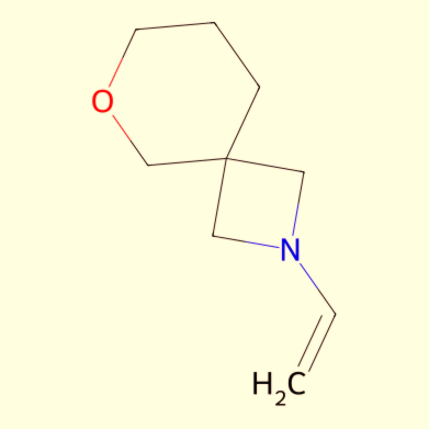 C=CN1CC2(CCCOC2)C1